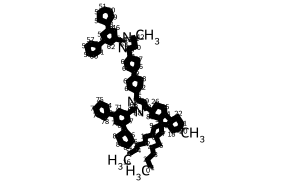 CCCCCCCCC1(CCCCCCCC)c2cc(C)ccc2-c2ccc(-c3cc(-c4ccc(-c5ccc(-c6cc(C)nc(-c7cc(-c8ccccc8)cc(-c8ccccc8)c7)n6)cc5)cc4)nc(-c4cc(-c5ccccc5)cc(-c5ccccc5)c4)n3)cc21